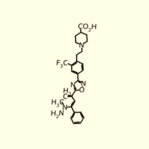 C=C(/C=C(/c1ccccc1)N(C)N)c1nc(-c2ccc(CCN3CCC(C(=O)O)CC3)c(C(F)(F)F)c2)no1